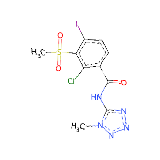 Cn1nnnc1NC(=O)c1ccc(I)c(S(C)(=O)=O)c1Cl